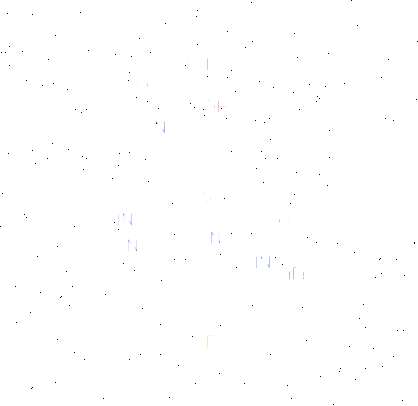 CC(C)NC(=O)c1csc(-c2c(-c3ccc(F)cc3)n[nH]c2C2CCN(C(=O)C(C)O)CC2)n1